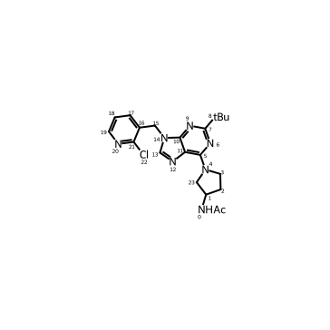 CC(=O)NC1CCN(c2nc(C(C)(C)C)nc3c2ncn3Cc2cccnc2Cl)C1